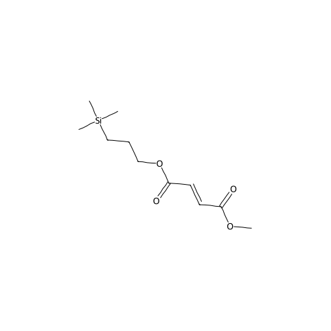 COC(=O)C=CC(=O)OCCC[Si](C)(C)C